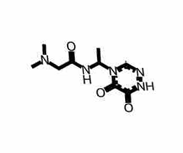 CC(NC(=O)CN(C)C)n1[c]n[nH]c(=O)c1=O